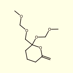 C=C1CCCC(COCOC)(OCOC)O1